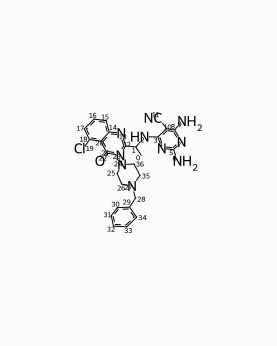 CC(Nc1nc(N)nc(N)c1C#N)c1nc2cccc(Cl)c2c(=O)n1N1CCN(Cc2ccccc2)CC1